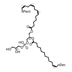 CCCCC/C=C\C/C=C\C/C=C\CCCCC(=O)OC[C@H](COP(=O)(O)OC[C@@H](O)CO)OC(=O)CCCCCCCCC/C=C\CCCCCCCCCC